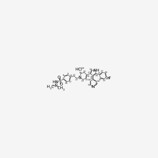 CN(C)NS(=O)(=O)c1ccc(CCN2CC=C(c3c[nH]c(-c4ccc(F)cc4)c3-c3ccncc3)CC2)cc1.Cl